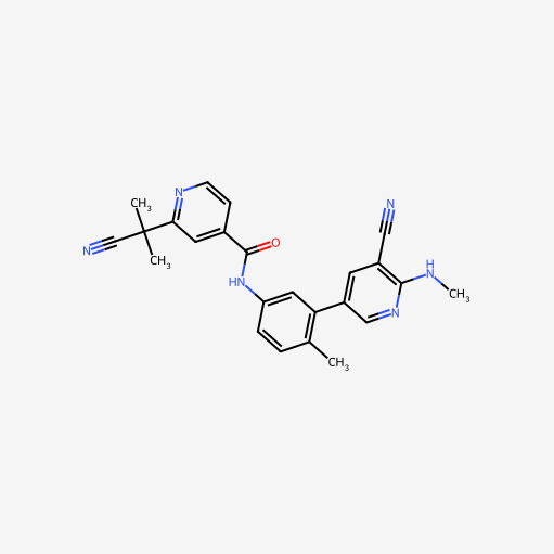 CNc1ncc(-c2cc(NC(=O)c3ccnc(C(C)(C)C#N)c3)ccc2C)cc1C#N